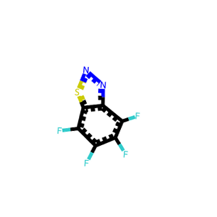 Fc1c(F)c(F)c2snnc2c1F